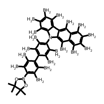 Bc1c(B)c(-c2c(B)c(B)c(-n3c4c(B)c(B)c(B)c(B)c4c4c(B)c5c(B)c(B)c(B)c(B)c5c(B)c43)c(B)c2B)c(B)c(B)c1B1OC(C)(C)C(C)(C)O1